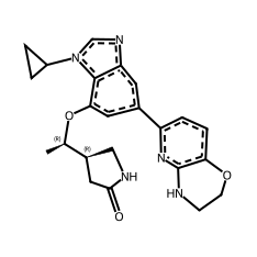 C[C@@H](Oc1cc(-c2ccc3c(n2)NCCO3)cc2ncn(C3CC3)c12)[C@H]1CNC(=O)C1